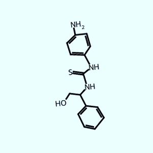 Nc1ccc(NC(=S)NC(CO)c2ccccc2)cc1